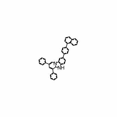 C1=C(c2ccccc2)C=C(c2ccccc2)C2Nc3ccc(-c4ccc(-c5cccc6ccccc56)cc4)cc3N12